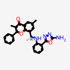 Cc1cc([C@@H](C)Nc2ccccc2-c2nnc(N)o2)c2oc(-c3ccccc3)c(C)c(=O)c2c1